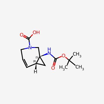 CC(C)(C)OC(=O)N[C@@]12C[C@@H]1C=CCN(C(=O)O)C2